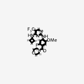 COc1cc(C(=O)N2CCOCC2)c(F)cc1Nc1ncc(C(F)(F)F)c(NC2CCC2)n1